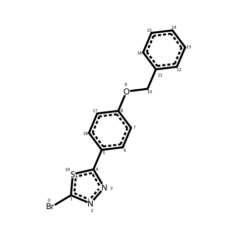 Brc1nnc(-c2ccc(OCc3ccccc3)cc2)s1